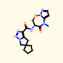 CN1C(=O)[C@@H](NC(=O)c2nnn3c2CC2(CCCC2)C3)COn2nccc21